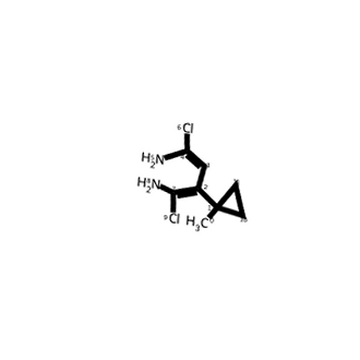 CC1(C(/C=C(\N)Cl)=C(/N)Cl)CC1